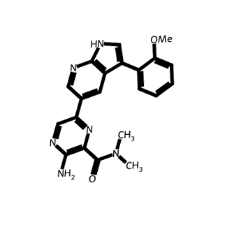 COc1ccccc1-c1c[nH]c2ncc(-c3cnc(N)c(C(=O)N(C)C)n3)cc12